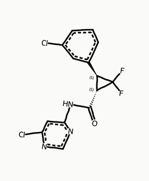 O=C(Nc1cc(Cl)ncn1)[C@@H]1[C@@H](c2cccc(Cl)c2)C1(F)F